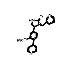 COc1cc(C2CNC(=O)N2Cc2cccnc2)ccc1-c1ccncc1